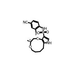 C[C@H]1CCc2c(S(=O)(=O)Nc3ccc(C#N)cc3F)c[nH]c2CCCCO1